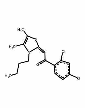 CCCCN1C(=CC(=O)c2ccc(Cl)cc2Cl)SC(C)=C1C